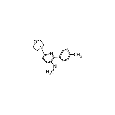 CNc1ccc(N2CCOCC2)nc1-c1ccc(C)cc1